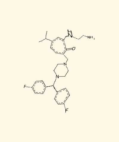 CC(C)c1ccc(CN2CCN(C(c3ccc(F)cc3)c3ccc(F)cc3)CC2)c(=O)c(NCCN)c1